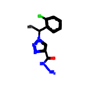 CCCC(c1ccccc1Cl)n1cc(C(=O)NN)nn1